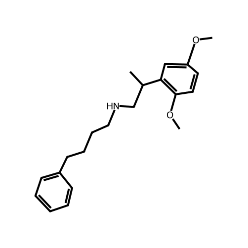 COc1ccc(OC)c(C(C)CNCCCCc2ccccc2)c1